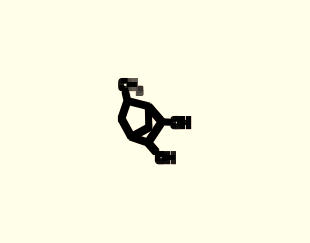 CC1CC2CC1C(O)C2O